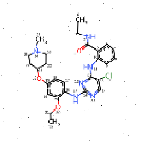 CCNC(=O)c1ccccc1Nc1nc(Nc2ccc(OC3CCN(C)CC3)cc2OCC)ncc1Cl